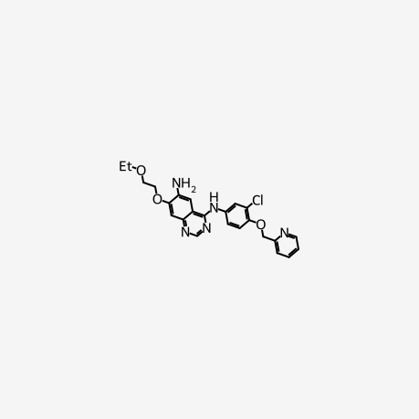 CCOCCOc1cc2ncnc(Nc3ccc(OCc4ccccn4)c(Cl)c3)c2cc1N